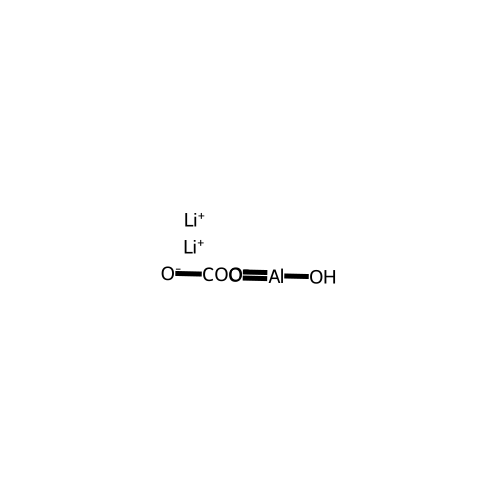 O=C([O-])[O-].[Li+].[Li+].[O]=[Al][OH]